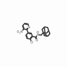 O=C(NCC12CC3CC(CC(C3)C1)C2)c1cc(-c2ncccc2[N+](=O)[O-])ccc1Cl